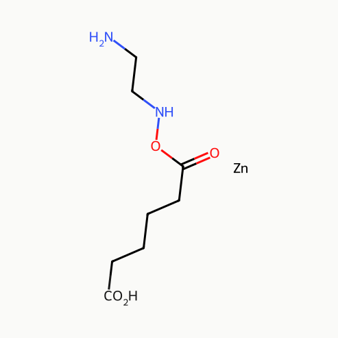 NCCNOC(=O)CCCCC(=O)O.[Zn]